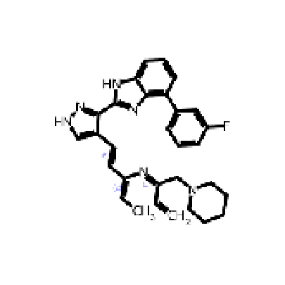 C=C\C(CN1CCCCC1)=N/C(=C\C)/C=C/c1c[nH]nc1-c1nc2c(-c3cccc(F)c3)cccc2[nH]1